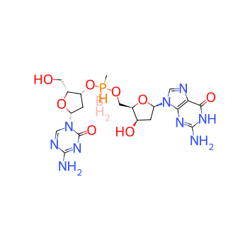 B[PH](C)(OC[C@H]1O[C@@H](n2cnc3c(=O)[nH]c(N)nc32)C[C@H]1O)O[C@@H]1C[C@H](n2cnc(N)nc2=O)O[C@@H]1CO